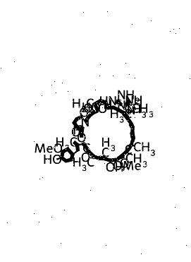 CO[C@@H]1C[C@@H](CC(C)[C@@H]2CC(=O)[C@H](C)/C=C(\C)[C@@H](O)[C@@H](OC)C(=O)[C@H](C)C[C@H](C)/C=C/C=C/C=C(/C)[C@@H](N(C(=N)N)C(=N)N(C)C)C[C@@H]3CC[C@@H](C)[C@@](O)(O3)C(=O)C(=O)N3CCCC[C@H]3C(=O)O2)CC[C@H]1O